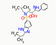 CC(C)Cc1nc2ccc(S(=O)(=O)N(CC(C)C)C[C@@H](O)[C@@H](N)Cc3ccccc3)cc2[nH]1